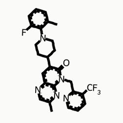 Cc1cnc2cc(C3CCN(c4c(C)cccc4F)CC3)c(=O)n(Cc3ncccc3C(F)(F)F)c2n1